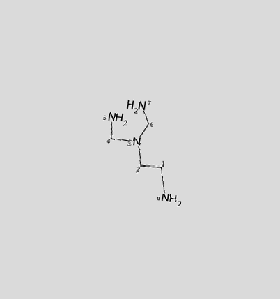 NCCN(CN)CN